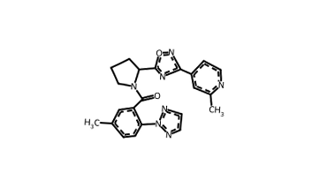 Cc1ccc(-n2nccn2)c(C(=O)N2CCCC2c2nc(-c3ccnc(C)c3)no2)c1